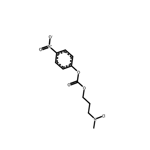 CN(Cl)CCCOC(=O)Oc1ccc([N+](=O)[O-])cc1